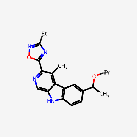 CCc1noc(-c2ncc3[nH]c4ccc(C(C)OC(C)C)cc4c3c2C)n1